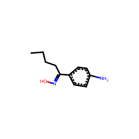 CCCCC(=NO)c1ccc(N)cc1